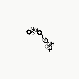 CC(C)(C)OC(=O)NC1CCN(CCc2ccc(Oc3nc4ccccc4s3)cc2)CC1